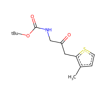 Cc1ccsc1CC(=O)CNC(=O)OC(C)(C)C